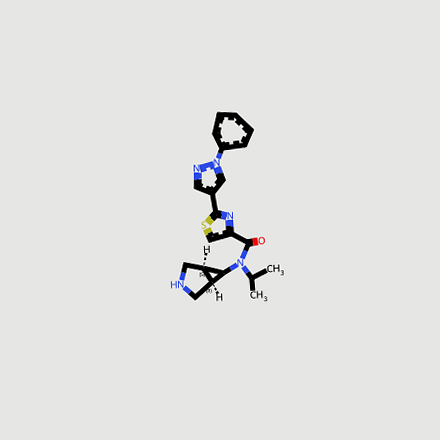 CC(C)N(C(=O)c1csc(-c2cnn(-c3ccccc3)c2)n1)C1[C@H]2CNC[C@@H]12